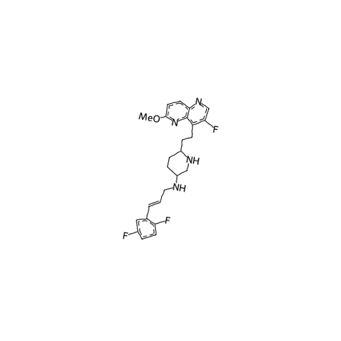 COc1ccc2ncc(F)c(CCC3CCC(NC/C=C/c4cc(F)ccc4F)CN3)c2n1